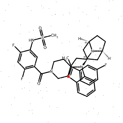 Cc1nc2ccccc2n1[C@H]1C[C@H]2CC[C@@H](C1)N2CCC1(c2cccc(F)c2)CCN(C(=O)c2cc(NS(C)(=O)=O)c(F)cc2F)CC1